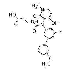 COc1cccc(-c2cc(F)cc(N(C(=O)NCCC(=O)O)c3c(O)ccn(C)c3=O)c2)c1